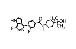 CC(C)(O)C1CCC(NC(=O)c2ccc(-c3ncc(F)c4[nH]ccc34)c(F)c2)CC1